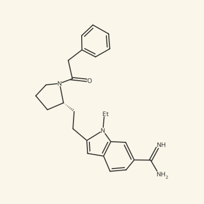 CCn1c(CC[C@@H]2CCCN2C(=O)Cc2ccccc2)cc2ccc(C(=N)N)cc21